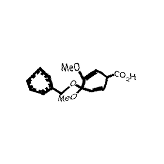 COC1=CC(C(=O)O)C=CC1(OC)OCc1ccccc1